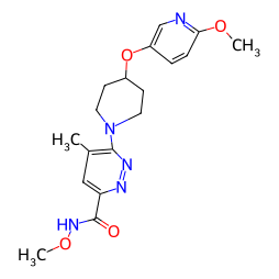 CONC(=O)c1cc(C)c(N2CCC(Oc3ccc(OC)nc3)CC2)nn1